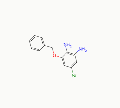 Nc1cc(Br)cc(OCc2ccccc2)c1N